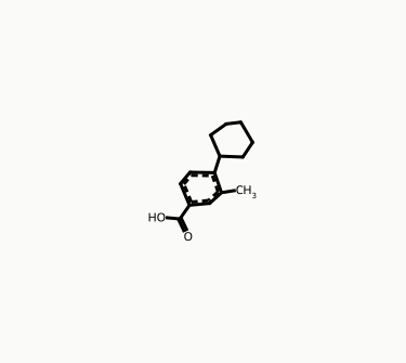 Cc1cc(C(=O)O)ccc1C1CCCCC1